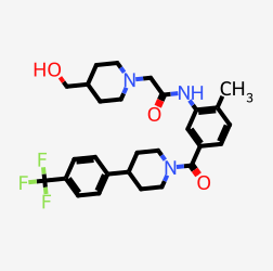 Cc1ccc(C(=O)N2CCC(c3ccc(C(F)(F)F)cc3)CC2)cc1NC(=O)CN1CCC(CO)CC1